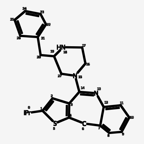 CC(C)c1cc2c(s1)Cc1ccccc1N=C2N1CCNC(Cc2ccccc2)C1